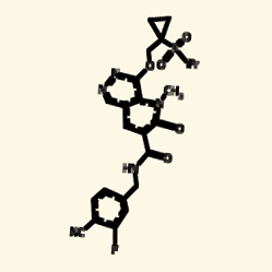 CC(C)S(=O)(=O)C1(COc2nncc3cc(C(=O)NCc4ccc(C#N)c(F)c4)c(=O)n(C)c23)CC1